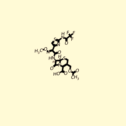 CON=C(C(=O)N[C@@H]1C(=O)N2C(C(=O)O)=C(COC(C)=O)CS[C@H]12)c1csc(NC(=O)C(F)(F)F)n1